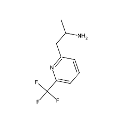 CC(N)Cc1cccc(C(F)(F)F)n1